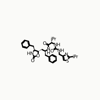 CC(C)c1nc(CNC(=O)N[C@H](C(=O)N[C@@H](Cc2ccccc2)C[C@@H]2OC(=O)N[C@H]2Cc2ccccc2)C(C)C)cs1